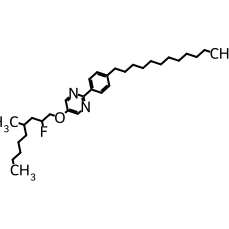 CCCCCCCCCCCCc1ccc(-c2ncc(OCC(F)CC(C)CCCCC)cn2)cc1